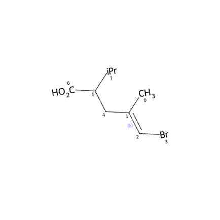 C/C(=C\Br)CC(C(=O)O)C(C)C